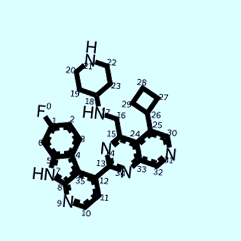 Fc1ccc2c(c1)[nH]c1nccc(-c3nc(CNC4CCNCC4)c4c(C5CCC5)cncc4n3)c12